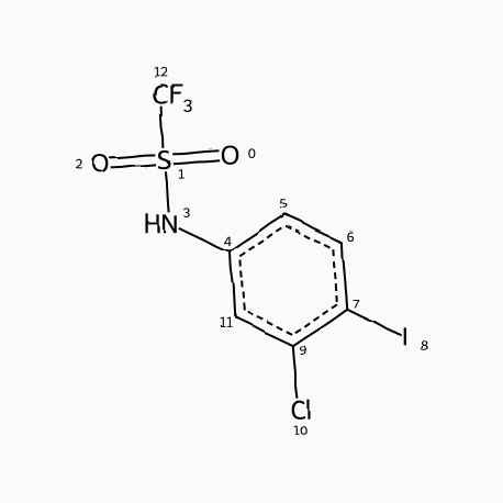 O=S(=O)(Nc1ccc(I)c(Cl)c1)C(F)(F)F